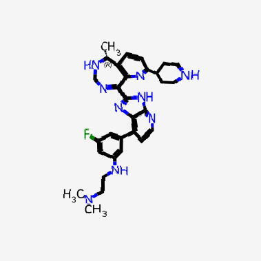 C[C@H]1NCN=C(c2nc3c(-c4cc(F)cc(NCCN(C)C)c4)ccnc3[nH]2)c2nc(C3CCNCC3)ccc21